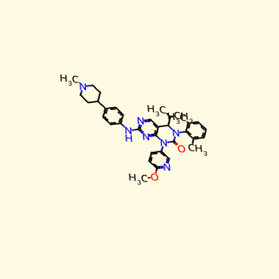 COc1ccc(N2C(=O)N(c3c(C)cccc3C)C(C(C)C)c3cnc(Nc4ccc(C5CCN(C)CC5)cc4)nc32)cn1